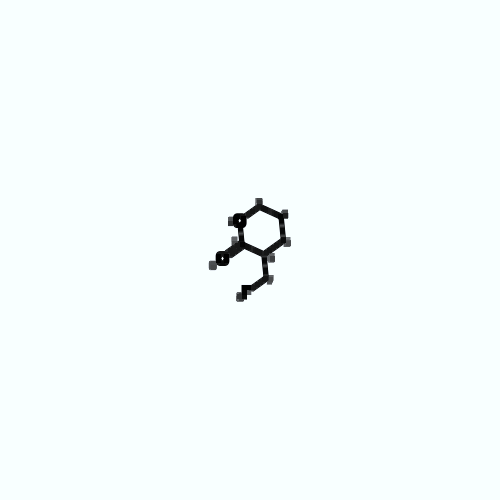 O=C1OCCCC1CF